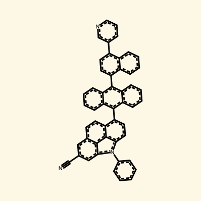 N#Cc1cc2ccc3c(-c4c5ccccc5c(-c5ccc(-c6cccnc6)c6ccccc56)c5ccccc45)ccc4c3c2c(c1)n4-c1ccccc1